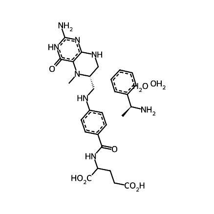 CN1c2c(nc(N)[nH]c2=O)NC[C@@H]1CNc1ccc(C(=O)NC(CCC(=O)O)C(=O)O)cc1.C[C@H](N)c1ccccc1.O.O